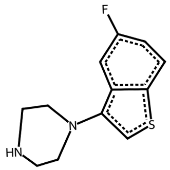 Fc1ccc2scc(N3CCNCC3)c2c1